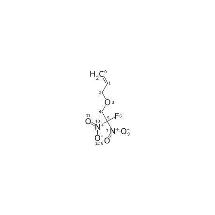 C=CCOCC(F)([N+](=O)[O-])[N+](=O)[O-]